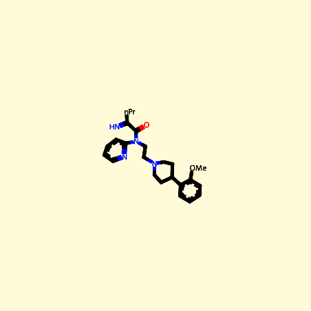 CCCC(=N)C(=O)N(CCN1CCC(c2ccccc2OC)CC1)c1ccccn1